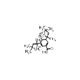 CC(C)(C)CC(C)(C)c1cc(C(=O)O)cc(C(C)(C)CC(C)(C)C)c1O